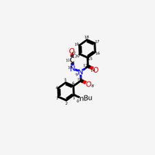 CCCCc1ccccc1C(=O)N(N=C=O)C(=O)c1ccccc1